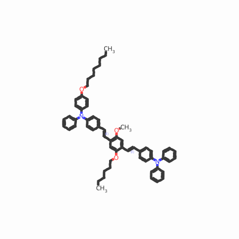 CCCCCCCCOc1ccc(N(c2ccccc2)c2ccc(/C=C/c3cc(OCCCCCC)c(/C=C/c4ccc(N(c5ccccc5)c5ccccc5)cc4)cc3OC)cc2)cc1